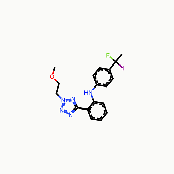 COCCn1nnc(-c2ccccc2Nc2ccc(C(C)(F)I)cc2)n1